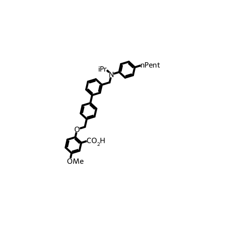 CCCCCc1ccc(N(Cc2cccc(-c3ccc(COc4ccc(OC)cc4C(=O)O)cc3)c2)C(C)C)cc1